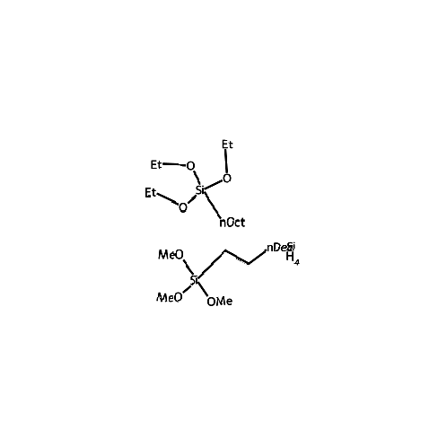 CCCCCCCCCCCC[Si](OC)(OC)OC.CCCCCCCC[Si](OCC)(OCC)OCC.[SiH4]